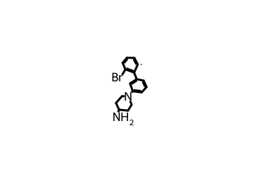 NC1CCN(c2cccc(-c3[c]cccc3Br)c2)CC1